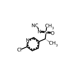 C[C@H](c1ccc(Cl)nc1)S(C)(=O)=NC#N